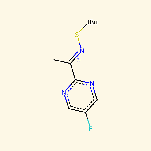 C/C(=N\SC(C)(C)C)c1ncc(F)cn1